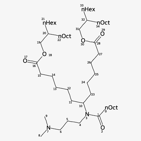 CCCCCCCCC(=O)N(CCCN(C)C)C(CCCCCC(=O)OCC(CCCCCC)CCCCCCCC)CCCCCC(=O)OCC(CCCCCC)CCCCCCCC